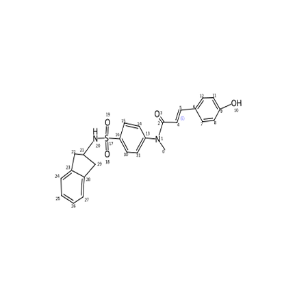 CN(C(=O)/C=C/c1ccc(O)cc1)c1ccc(S(=O)(=O)NC2Cc3ccccc3C2)cc1